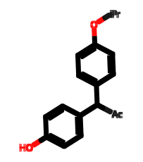 CC(=O)C(c1ccc(O)cc1)c1ccc(OC(C)C)cc1